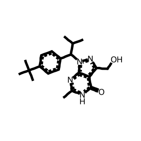 Cc1nc2c(c(CO)nn2C(c2ccc(C(C)(C)C)cc2)C(C)C)c(=O)[nH]1